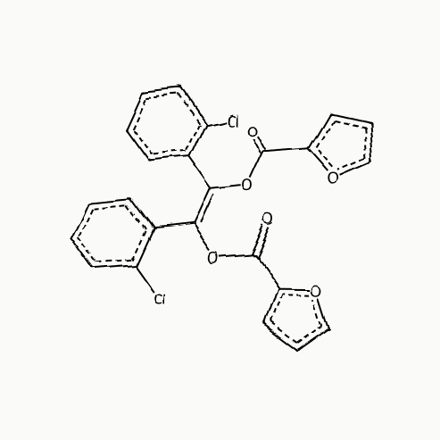 O=C(OC(=C(OC(=O)c1ccco1)c1ccccc1Cl)c1ccccc1Cl)c1ccco1